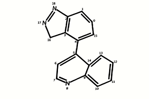 c1cc2c(c(-c3ccnc4ccccc34)c1)CN=N2